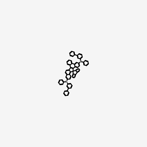 c1ccc(-c2cccc(N(c3ccccc3)c3ccc4c5c(ccc4c3)-c3c(c4ccc(N(c6ccccc6)c6cccc(-c7ccccc7)c6)cc4c4ccccc34)C53c4ccccc4-c4ccccc43)c2)cc1